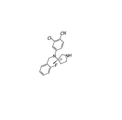 C[C@]1(N(Cc2ccccc2F)c2ccc(C#N)c(Cl)c2)CCNC1